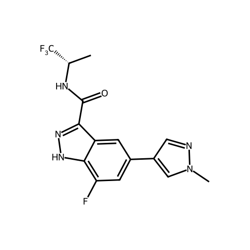 C[C@H](NC(=O)c1n[nH]c2c(F)cc(-c3cnn(C)c3)cc12)C(F)(F)F